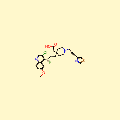 COc1ccc2ncc(Cl)c([C@@H](F)CCC3(CC(=O)O)CCN(CC#Cc4cscn4)CC3)c2c1